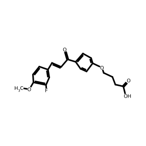 COc1ccc(/C=C/C(=O)c2ccc(OCCCC(=O)O)cc2)cc1F